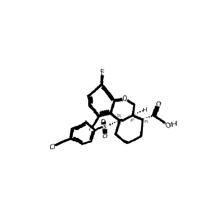 O=C(O)[C@@H]1CCC[C@@]2(S(=O)(=O)c3ccc(Cl)cc3)c3c(F)ccc(F)c3OC[C@@H]12